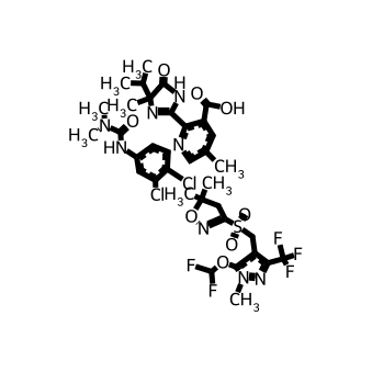 CN(C)C(=O)Nc1ccc(Cl)c(Cl)c1.Cc1cnc(C2=NC(C)(C(C)C)C(=O)N2)c(C(=O)O)c1.Cn1nc(C(F)(F)F)c(CS(=O)(=O)C2=NOC(C)(C)C2)c1OC(F)F